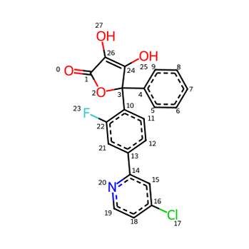 O=C1OC(c2ccccc2)(c2ccc(-c3cc(Cl)ccn3)cc2F)C(O)=C1O